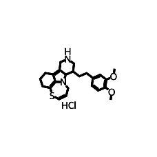 COc1ccc(CCC2CNCC3=C4CCCC5=C4N(CC=CS5)C32)cc1OC.Cl